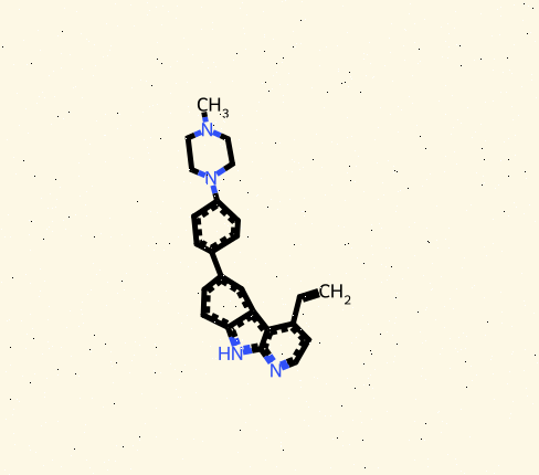 C=Cc1ccnc2[nH]c3ccc(-c4ccc(N5CCN(C)CC5)cc4)cc3c12